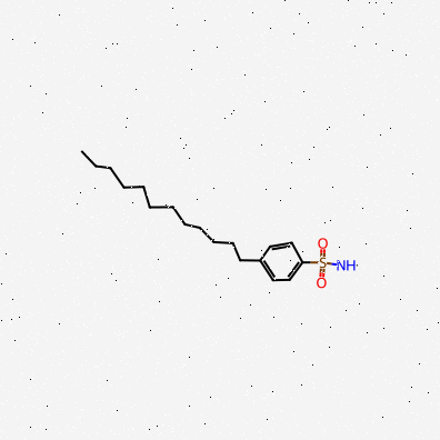 CCCCCCCCCCCCc1ccc(S([NH])(=O)=O)cc1